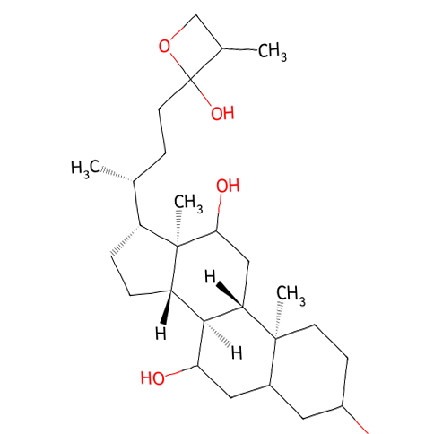 CC1COC1(O)CC[C@@H](C)[C@H]1CC[C@H]2[C@@H]3C(O)CC4CC(O)CC[C@]4(C)[C@H]3CC(O)[C@]12C